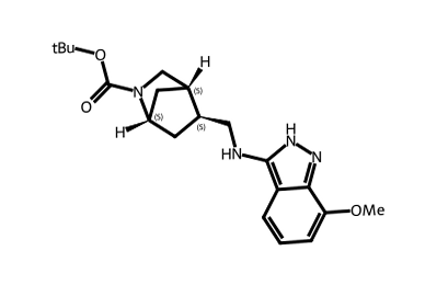 COc1cccc2c(NC[C@H]3C[C@H]4C[C@@H]3CN4C(=O)OC(C)(C)C)[nH]nc12